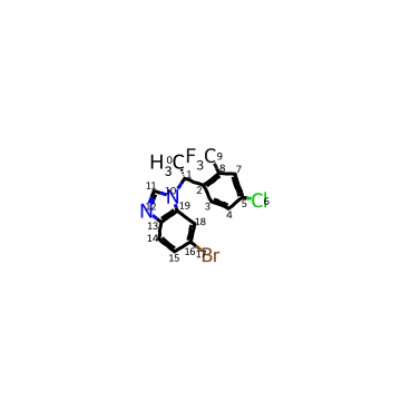 C[C@H](c1ccc(Cl)cc1C(F)(F)F)n1cnc2ccc(Br)cc21